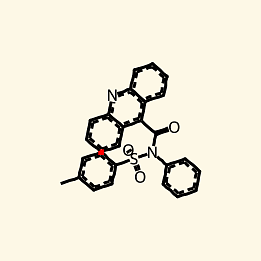 Cc1ccc(S(=O)(=O)N(C(=O)c2c3ccccc3nc3ccccc23)c2ccccc2)cc1